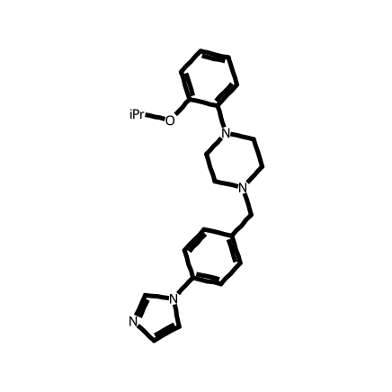 CC(C)Oc1ccccc1N1CCN(Cc2ccc(-n3ccnc3)cc2)CC1